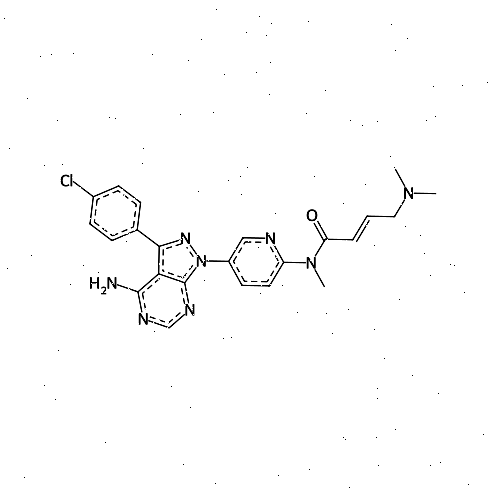 CN(C)C/C=C/C(=O)N(C)c1ccc(-n2nc(-c3ccc(Cl)cc3)c3c(N)ncnc32)cn1